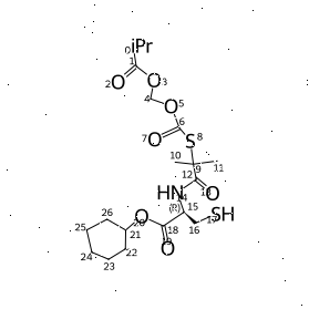 CC(C)C(=O)OCOC(=O)SC(C)(C)C(=O)N[C@@H](CS)C(=O)OC1CCCCC1